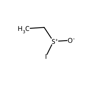 CC[S+]([O-])I